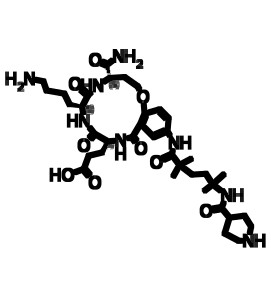 CC(C)(CCC(C)(C)C(=O)Nc1ccc2c(c1)C(=O)N[C@@H](CCC(=O)O)C(=O)N[C@@H](CCCCN)C(=O)N[C@H](C(N)=O)CCO2)NC(=O)C1CCNCC1